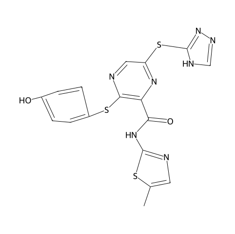 Cc1cnc(NC(=O)c2nc(Sc3nnc[nH]3)cnc2Sc2ccc(O)cc2)s1